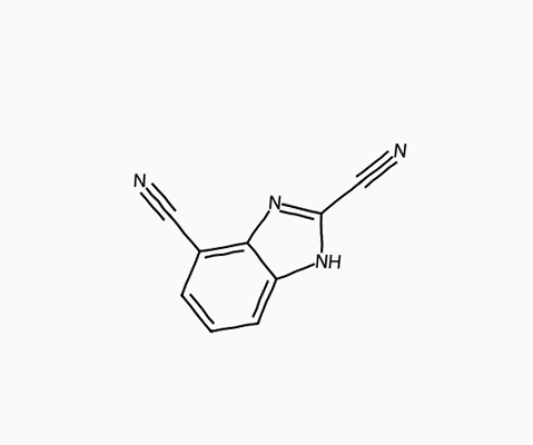 N#Cc1nc2c(C#N)cccc2[nH]1